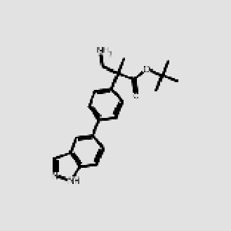 CC(C)(C)OC(=O)C(C)(CN)c1ccc(-c2ccc3[nH]ncc3c2)cc1